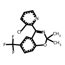 CC1(C)N=C(c2ncccc2Cl)c2cc(C(F)(F)F)ccc2O1